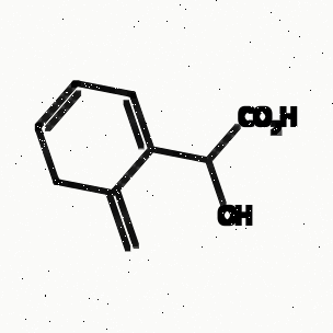 C=C1CC=CC=C1C(O)C(=O)O